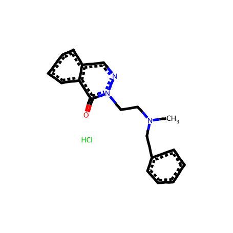 CN(CCn1ncc2ccccc2c1=O)Cc1ccccc1.Cl